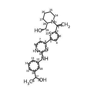 C=C(c1ccc(-c2ccnc(Nc3cccc(C(C)O)c3)n2)s1)N1CCCCC1CO